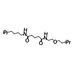 CC(C)CCCCNC(=O)CCCC(=O)NCCOCCC(C)C